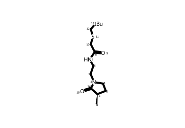 C[C@@H]1CCN(CCNC(=O)CSCC(C)(C)C)C1=O